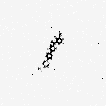 CN1CCN(c2ccc(-c3cnc4c(-c5cccc(C#N)c5F)coc4c3)cc2)CC1